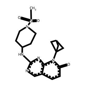 CS(=O)(=O)N1CCC(Nc2ncc3ccc(=O)n(C45CC(C4)C5)c3n2)CC1